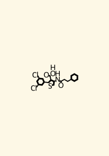 O=C(CCc1ccccc1)Nc1csc(-c2cc(Cl)cc(Cl)c2)c1C(=O)O